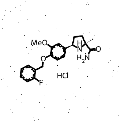 COc1cc([C@H]2CC[C@@](C)(C(N)=O)N2)ccc1OCc1ccccc1F.Cl